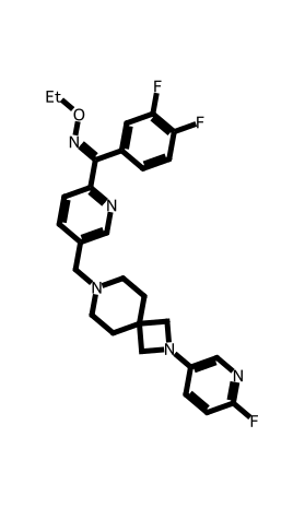 CCO/N=C(\c1ccc(F)c(F)c1)c1ccc(CN2CCC3(CC2)CN(c2ccc(F)nc2)C3)cn1